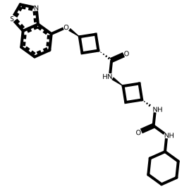 O=C(NC1CCCCC1)N[C@H]1C[C@H](NC(=O)[C@H]2C[C@H](Oc3cccc4scnc34)C2)C1